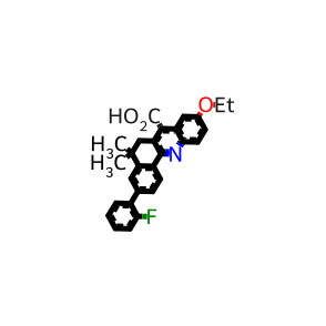 CCOc1ccc2nc3c(c(C(=O)O)c2c1)CC(C)(C)c1cc(-c2ccccc2F)ccc1-3